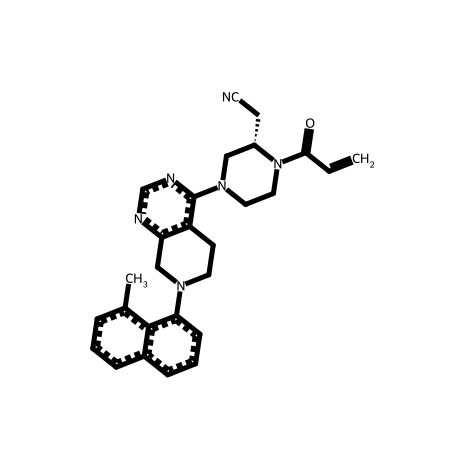 C=CC(=O)N1CCN(c2ncnc3c2CCN(c2cccc4cccc(C)c24)C3)C[C@@H]1CC#N